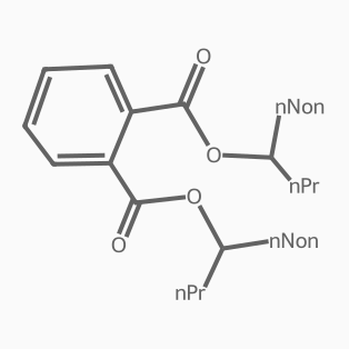 CCCCCCCCCC(CCC)OC(=O)c1ccccc1C(=O)OC(CCC)CCCCCCCCC